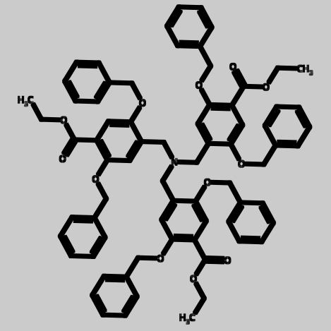 CCOC(=O)c1cc(OCc2ccccc2)c(CN(Cc2cc(OCc3ccccc3)c(C(=O)OCC)cc2OCc2ccccc2)Cc2cc(OCc3ccccc3)c(C(=O)OCC)cc2OCc2ccccc2)cc1OCc1ccccc1